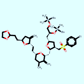 C=C1C[C@H](CCC2OCCO2)O[C@H]1CC[C@H]1CC(C)C(=C)[C@@H](C[C@@H]2O[C@H](C[C@@H](CO[Si](C)(C)C(C)(C)C)O[Si](C)(C)C(C)(C)C)C[C@H]2CS(=O)(=O)c2ccc(CC)cc2)O1